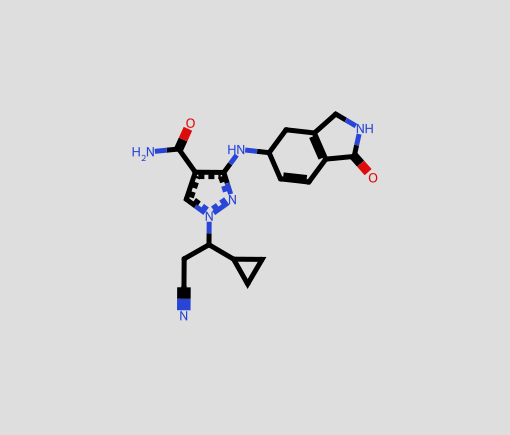 N#CCC(C1CC1)n1cc(C(N)=O)c(NC2C=CC3=C(CNC3=O)C2)n1